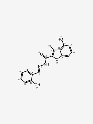 Cc1c(C(=O)N/N=C/c2ccccc2O)oc2cccc(O)c12